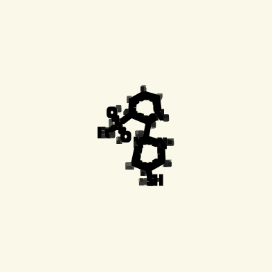 CCS(=O)(=O)c1cccnc1-c1ncc(S)cn1